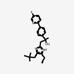 CCc1[nH]c(CC(C)(O)c2ccc(-c3ccc(F)cn3)cc2)nc1CC(C)(C)C